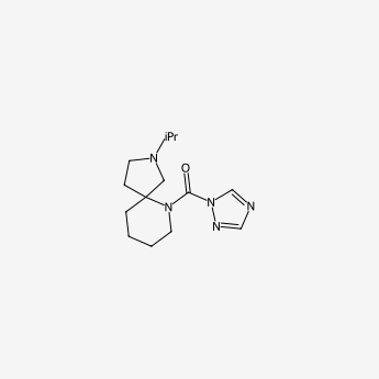 CC(C)N1CCC2(CCCCN2C(=O)n2cncn2)C1